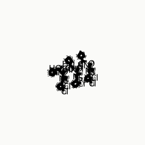 O=C(NCC(C(=O)O)c1ccccc1)c1csc(-c2cccc(Cl)c2Cl)n1.O=C(NCC(C(=O)O)c1ccccc1)c1csc(-c2ccccc2Cl)n1.O=C(O)CC(Cc1ccccc1)NC(=O)c1csc(-c2cccc(Cl)c2Cl)n1